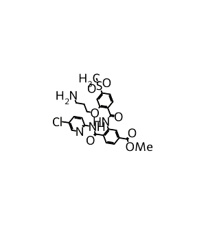 COC(=O)c1ccc(C(=O)Nc2ccc(Cl)cn2)c(NC(=O)c2ccc(S(C)(=O)=O)cc2OCCCN)c1